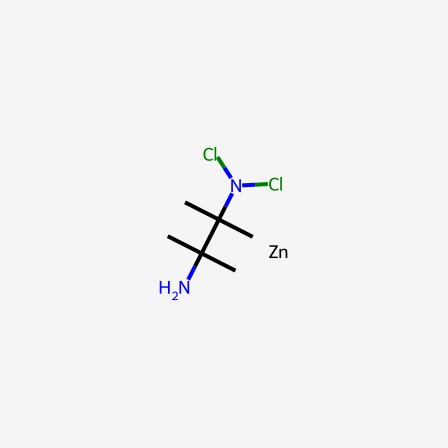 CC(C)(N)C(C)(C)N(Cl)Cl.[Zn]